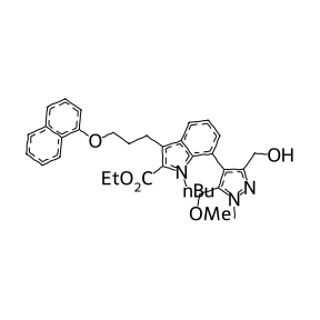 CCCCn1c(C(=O)OCC)c(CCCOc2cccc3ccccc23)c2cccc(-c3c(CO)nn(C)c3COC)c21